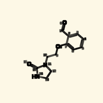 O=Cc1ccccc1OCCN1CCNC1=O